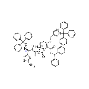 Nc1nc(/C(=N/OC(c2ccccc2)(c2ccccc2)c2ccccc2)C(=O)N[C@@H]2C(=O)N3C(C(=O)OC(c4ccccc4)c4ccccc4)=C(SCc4cnn(C(c5ccccc5)(c5ccccc5)c5ccccc5)c4)CS[C@@H]23)cs1